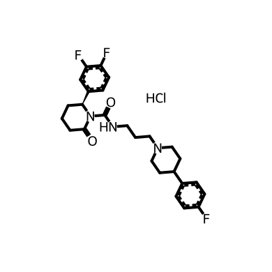 Cl.O=C1CCC[C@@H](c2ccc(F)c(F)c2)N1C(=O)NCCCN1CCC(c2ccc(F)cc2)CC1